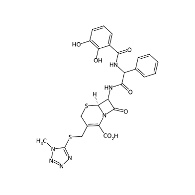 Cn1nnnc1SCC1=C(C(=O)O)N2C(=O)C(NC(=O)C(NC(=O)c3cccc(O)c3O)c3ccccc3)[C@@H]2SC1